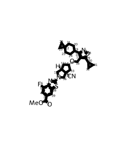 COC(=O)c1cc(F)c2nc(N3C[C@H]4C[C@H](OCc5c(C6CCC7(CC6)CC7)noc5C5CC5)C[C@@]4(C#N)C3)sc2c1